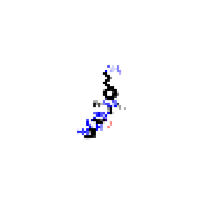 CCN1c2ccc(CCCN)cc2N(CC)C1CNC(=O)c1nc2cc[nH]c2nc1N